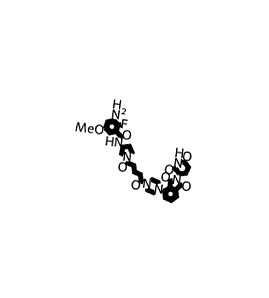 COc1cc(N)c(F)c(C(=O)N[C@H]2CCN(C(=O)CCCC(=O)N3CCN(c4cccc5c4C(=O)N(C4CCC(=O)NC4=O)C5=O)CC3)C2)c1